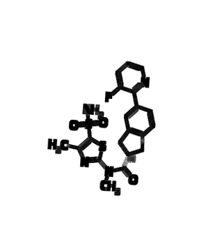 Cc1nc(N(C)C(=O)[C@H]2Cc3ccc(-c4ncccc4F)cc3C2)sc1S(N)(=O)=O